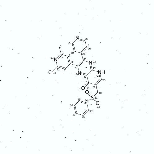 Cc1cc(-c2nc3c(=O)c(CS(=O)(=O)c4ccccc4)c[nH]c3nc2-c2ccccc2)cc(Cl)n1